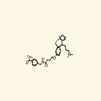 CN(C)CCCC1c2ccccc2CCc2cc(OCCCC(=O)NCc3ccc(C(=O)O)cc3)ccc21